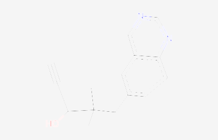 C#CC(O)C(C)(C)Cc1ccc2ncncc2c1